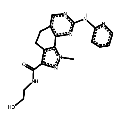 Cn1nc(C(=O)NCCO)c2c1-c1nc(Nc3ccccn3)ncc1CC2